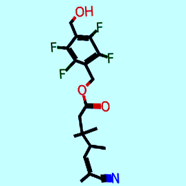 CC(C#N)=CC(C)C(C)(C)CC(=O)OCc1c(F)c(F)c(CO)c(F)c1F